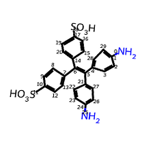 Nc1ccc(C(=C(c2ccc(S(=O)(=O)O)cc2)c2ccc(S(=O)(=O)O)cc2)c2ccc(N)cc2)cc1